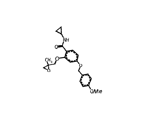 COc1ccc(COc2ccc(C(=O)NC3CC3)c(OCC3(C)CO3)c2)cc1